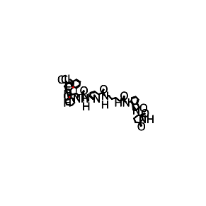 O=C1CCC(N2Cc3c(NC(=O)CCCCNC(=O)c4ccc(NC(=O)[C@@H]5NC6(CCCCC6)[C@@]6(C(=O)Nc7cc(Cl)ccc76)[C@H]5c5cccc(Cl)c5F)cn4)cccc3C2=O)C(=O)N1